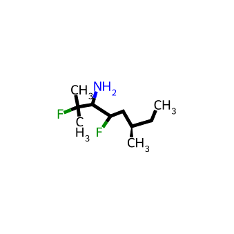 CC[C@@H](C)CC(F)C(N)C(C)(C)F